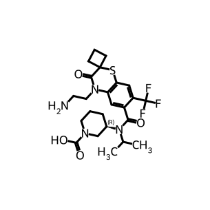 CC(C)N(C(=O)c1cc2c(cc1C(F)(F)F)SC1(CCC1)C(=O)N2CCN)[C@@H]1CCCN(C(=O)O)C1